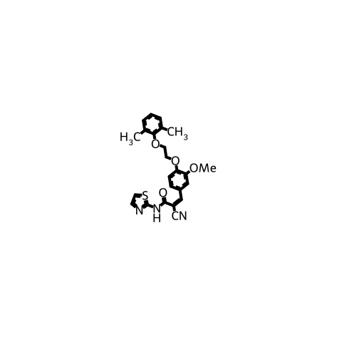 COc1cc(C=C(C#N)C(=O)Nc2nccs2)ccc1OCCOc1c(C)cccc1C